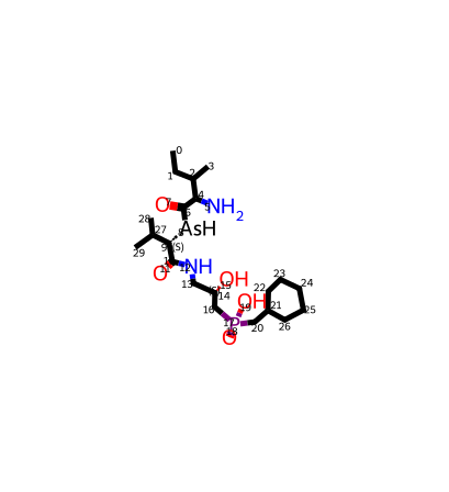 CCC(C)C(N)C(=O)[AsH][C@H](C(=O)NC[C@H](O)CP(=O)(O)CC1CCCCC1)C(C)C